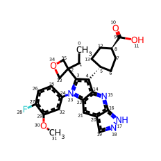 CCC1(c2c([C@H]3CC[C@H](C(=O)O)CC3)c3nc4[nH]ncc4cc3n2-c2ccc(F)c(OC)c2)COC1